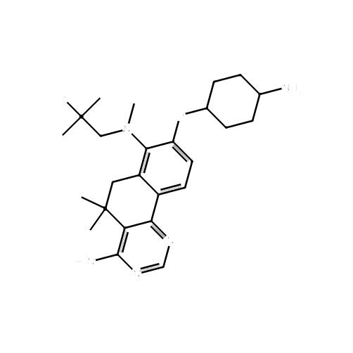 CN(CC(C)(C)O)c1c(OC2CCC(N)CC2)ccc2c1CC(C)(C)c1c(N)ncnc1-2